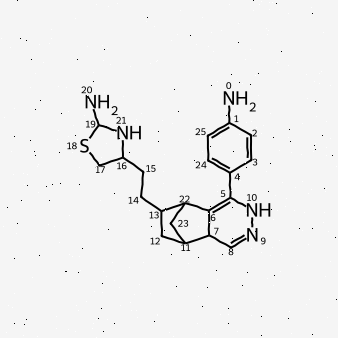 Nc1ccc(C2=C3C(C=NN2)C2CC(CCC4CSC(N)N4)C3C2)cc1